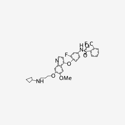 COc1cc2c(Oc3ccc(NS(=O)(=O)c4ccccc4C(F)(F)F)cc3F)ccnc2cc1OCCCNC1CCC1